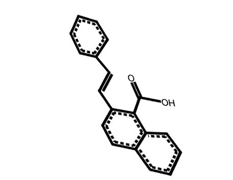 O=C(O)c1c(C=Cc2ccccc2)ccc2ccccc12